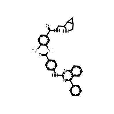 Cc1ccc(C(=O)NCC2NCC3CC32)cc1NC(=O)c1ccc(Nc2nc(-c3ccccc3)c3ccccc3n2)cc1